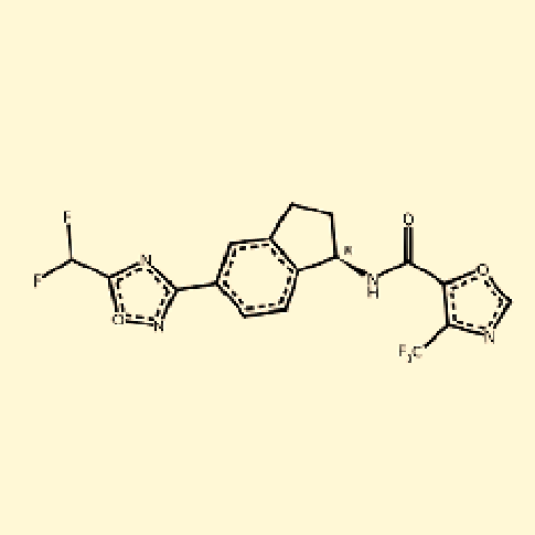 O=C(N[C@@H]1CCc2cc(-c3noc(C(F)F)n3)ccc21)c1ocnc1C(F)(F)F